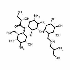 NC[C@H](O)C(=O)N[C@@H]1C[C@H](N)C(O[C@H]2O[C@H](CNCC(N)CO)[C@@H](O)[C@H](O)[C@H]2O)[C@H](O)[C@H]1O[C@H]1O[C@H](CO)[C@@H](O)[C@H](N)[C@H]1O